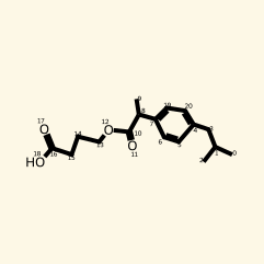 CC(C)Cc1ccc(C(C)C(=O)OCCCC(=O)O)cc1